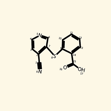 N#Cc1ccncc1Sc1ccccc1C(=O)O